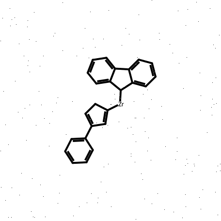 C1=[C]([Zr][CH]2c3ccccc3-c3ccccc32)CC=C1c1ccccc1